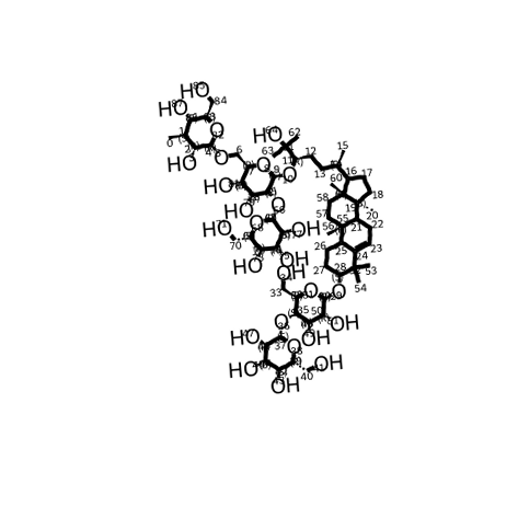 C[C@@H]1[C@@H](O)[C@H](OC[C@H]2O[C@@H](O[C@H](CC[C@@H](C)C3CC[C@@]4(C)C5CC=C6C(CC[C@H](O[C@@H]7O[C@H](CO)[C@@H](O[C@@H]8O[C@H](CO)[C@@H](O)[C@H](O)[C@H]8O)[C@H](O)[C@H]7O)C6(C)C)[C@]5(C)CC[C@]34C)C(C)(C)O)[C@H](O[C@H]3O[C@@H](CO)[C@H](O)[C@@H](O)[C@@H]3O)[C@@H](O)[C@@H]2O)O[C@H](CO)[C@H]1O